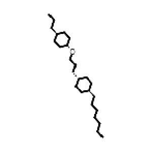 CCCCCCC[C@H]1CC[C@H](CCCO[C@H]2CC[C@H](CCC)CC2)CC1